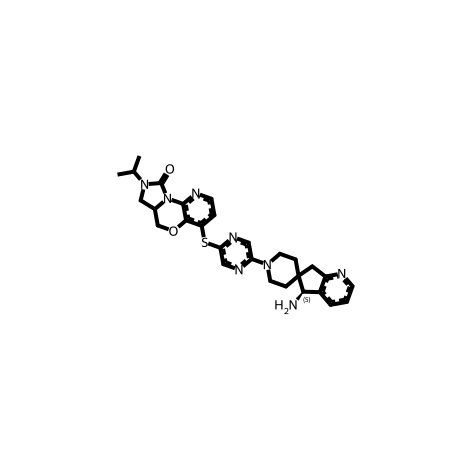 CC(C)N1CC2COc3c(Sc4cnc(N5CCC6(CC5)Cc5ncccc5[C@H]6N)cn4)ccnc3N2C1=O